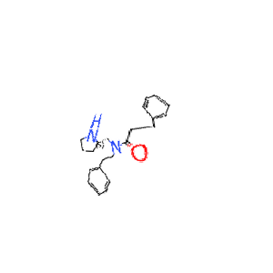 O=C(CCc1ccccc1)N(CCc1ccccc1)C[C@@H]1CCCN1